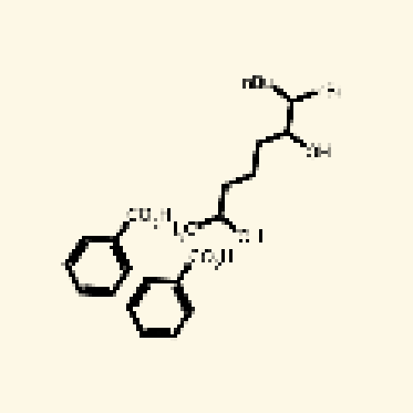 CCCCC(CCCC)C(O)CCCC(C)O.O=C(O)c1ccccc1.O=C(O)c1ccccc1